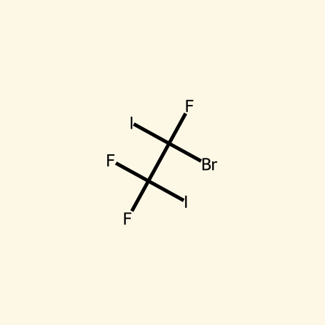 FC(F)(I)C(F)(Br)I